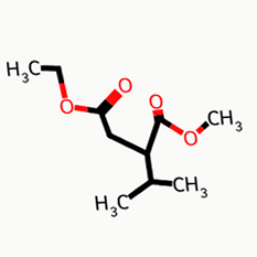 CCOC(=O)CC(C(=O)OC)C(C)C